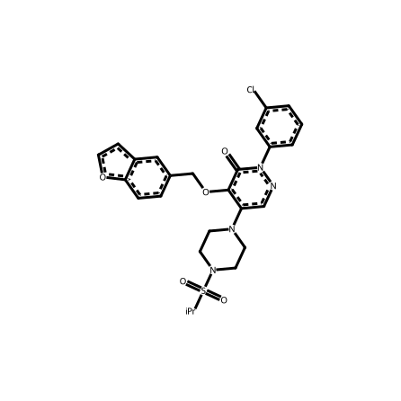 CC(C)S(=O)(=O)N1CCN(c2cnn(-c3cccc(Cl)c3)c(=O)c2OCc2ccc3occc3c2)CC1